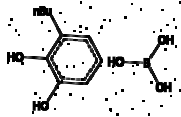 CCCCc1cccc(O)c1O.OB(O)O